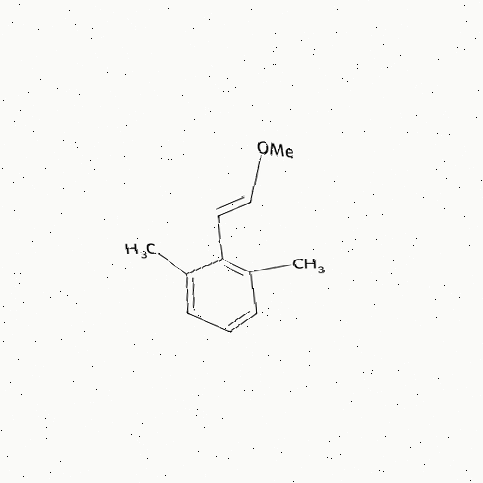 COC=Cc1c(C)cccc1C